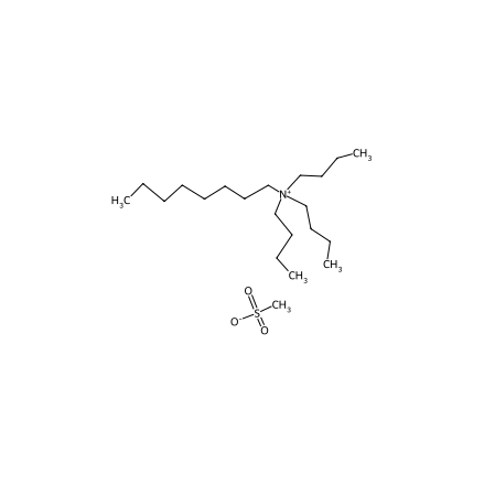 CCCCCCCC[N+](CCCC)(CCCC)CCCC.CS(=O)(=O)[O-]